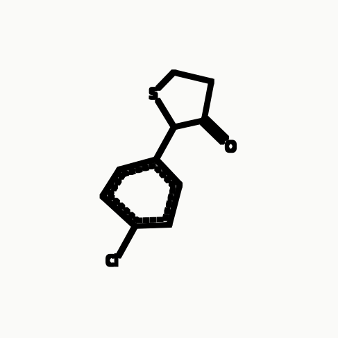 O=C1CCSC1c1ccc(Cl)cc1